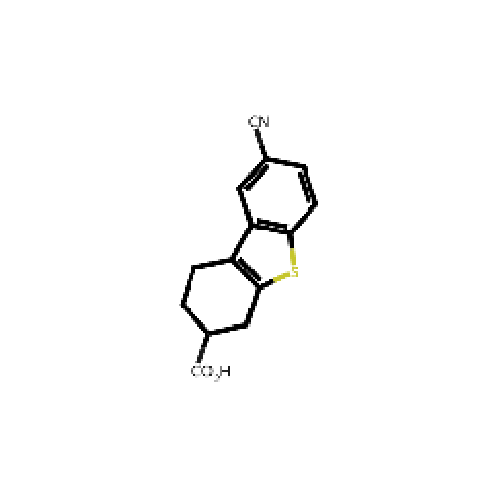 N#Cc1ccc2sc3c(c2c1)CCC(C(=O)O)C3